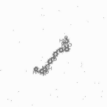 O=C1CCC(N2C(=O)c3cccc(N4CCN(CC5CCN(C(=O)CN6CCC(SCc7nc8cc(NC9CCCC9)cc(F)c8c(=O)[nH]7)CC6)CC5)CC4)c3C2=O)C(=O)N1